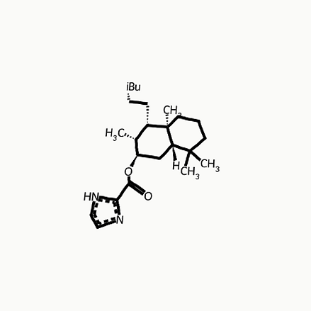 CC[C@@H](C)CC[C@H]1[C@@H](C)[C@H](OC(=O)c2ncc[nH]2)C[C@H]2C(C)(C)CCC[C@]12C